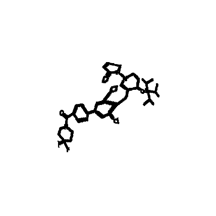 CC(C)[Si](OC1CCN(N2CCCC2=O)CC1Cc1c(Cl)cc(-c2ccc(C(=O)N3CCC(F)(F)CC3)cc2)cc1Cl)(C(C)C)C(C)C